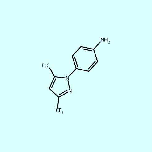 Nc1ccc(-n2nc(C(F)(F)F)cc2C(F)(F)F)cc1